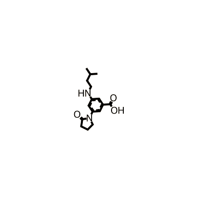 CC(C)CCNc1cc(C(=O)O)cc(N2CCCC2=O)c1